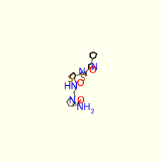 NC(=O)[C@@H]1CCCCN1CCCNC(=O)c1sccc1-c1nc(-c2cc(-c3ccccc3)no2)cs1